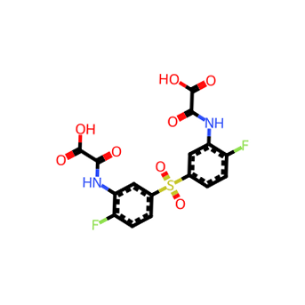 O=C(O)C(=O)Nc1cc(S(=O)(=O)c2ccc(F)c(NC(=O)C(=O)O)c2)ccc1F